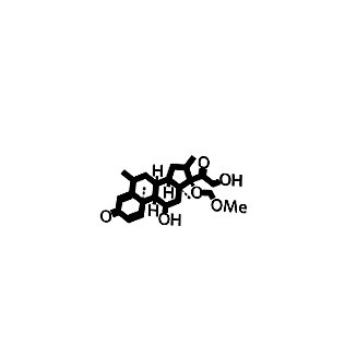 COCO[C@]1(C(=O)CO)C(C)C[C@H]2[C@@H]3CC(C)C4=CC(=O)C=C[C@]4(C)[C@H]3C(O)C[C@@]21C